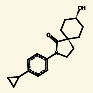 O=C1N(c2ccc(C3CC3)cc2)CC[C@]12CC[C@@H](O)CC2